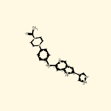 CC(=O)N1CCN(c2ccc(Nc3cc4[nH]c(-c5cn[nH]c5)cc4cn3)cc2)CC1